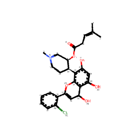 CC(C)=CCC(=O)O[C@@H]1CN(C)CC[C@@H]1c1c(O)cc(O)c2c1OC(c1ccccc1Cl)=CC2O